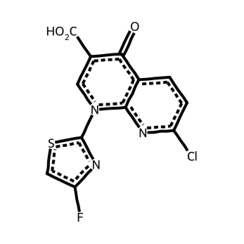 O=C(O)c1cn(-c2nc(F)cs2)c2nc(Cl)ccc2c1=O